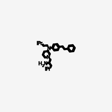 CC(C)CCN(c1ccc(CCc2ccccc2)cc1)C1CCCN(CC(N)CC(C)C)C1